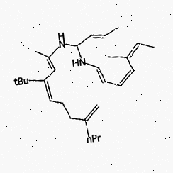 C=C(CCC)CC/C=C(\C=C(/C)NC(C=CC)N/C=C/C=C\C(C)=C/C)C(C)(C)C